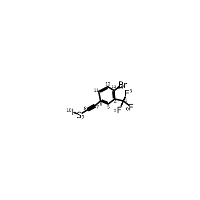 FC(F)(F)c1cc(C#CSI)ccc1Br